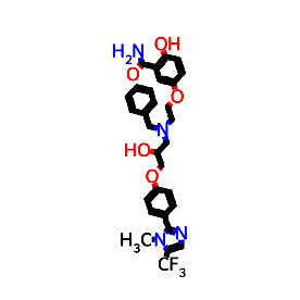 Cn1c(C(F)(F)F)cnc1-c1ccc(OCC(O)CN(CCOc2ccc(O)c(C(N)=O)c2)Cc2ccccc2)cc1